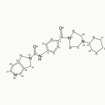 O=C(Nc1ccc(C(=O)N2CCN(C3CCCCC3)CC2)cc1)N1Cc2ccncc2C1